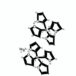 [Mg+2].c1coc([B-](c2ccco2)(c2ccco2)c2ccco2)c1.c1coc([B-](c2ccco2)(c2ccco2)c2ccco2)c1